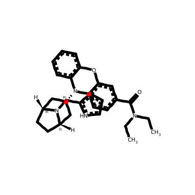 CCN(CC)C(=O)c1ccc2c(c1)Oc1ccccc1N2[C@H]1C[C@H]2CC[C@@H](C1)N2Cc1ncc[nH]1